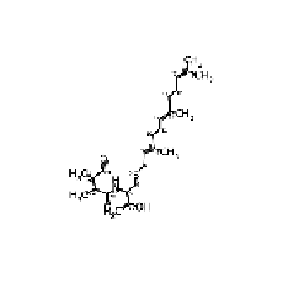 C=C(O)C(CSC/C=C(\C)CC/C=C(\C)CCC=C(C)C)NC(=O)C(C)C(C)C=O